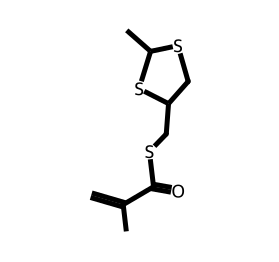 C=C(C)C(=O)SCC1CSC(C)S1